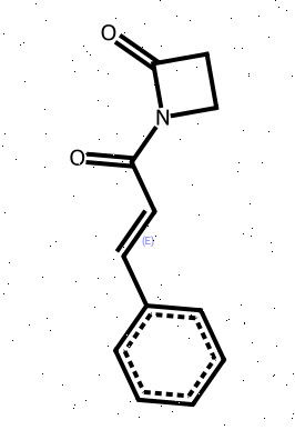 O=C(/C=C/c1ccccc1)N1CCC1=O